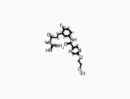 CCOCCOc1cnc(C(=O)Nc2ccc(F)c(CCC(=O)N(C)C(=N)N)c2)cn1